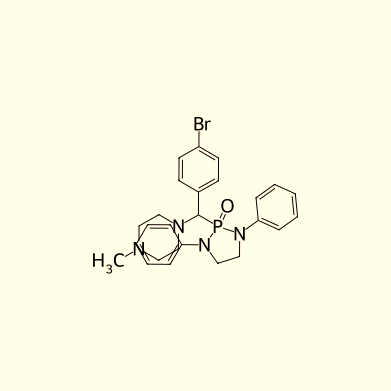 CN1CCN(C(c2ccc(Br)cc2)P2(=O)N(c3ccccc3)CCN2c2ccccc2)CC1